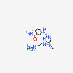 Cl.NCCCNc1nc(Nc2ccc3c(c2)C(=O)NC3)ncc1C1CC1